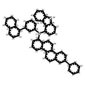 c1ccc(-c2ccc3c(ccc4c5cccc(N(c6cccc(-c7cccc8ccccc78)c6)c6cccc7sc8ccccc8c67)c5ccc34)c2)cc1